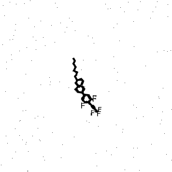 CCCCCCCC1CCc2cc(-c3cc(F)c(C#CC(F)(F)F)c(F)c3)ccc2C1